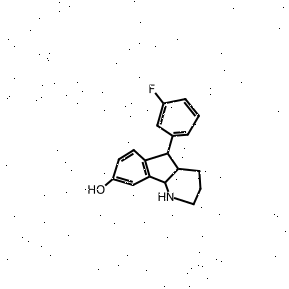 Oc1ccc2c(c1)C1NCCCC1C2c1cccc(F)c1